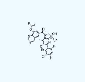 CCOc1c(C)cc([C@@](O)(CNC(=O)c2cc(OC(F)F)c3ncc(C)cc3c2)C2CC2)nc1-c1cc(Cl)c(F)cc1F